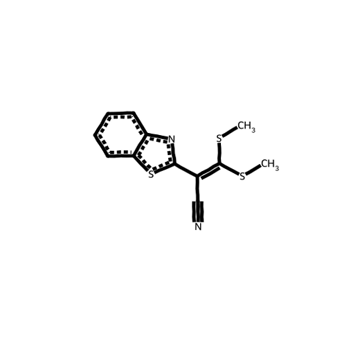 CSC(SC)=C(C#N)c1nc2ccccc2s1